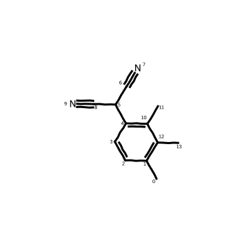 Cc1ccc(C(C#N)C#N)c(C)c1C